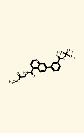 COC(=O)CNC(=O)c1ccnc2cc(-c3cccc(C(=O)OC(C)(C)C)c3)ccc12